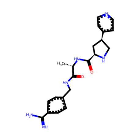 C[C@H](NC(=O)[C@H]1C[C@@H](c2ccncc2)CN1)C(=O)NCc1ccc(C(=N)N)cc1